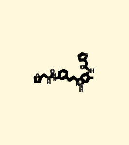 Cc1cc2[nH]nc(C=Cc3cccc(NC(=O)NCc4ccco4)c3)c2cc1NC(=O)Cc1cccs1